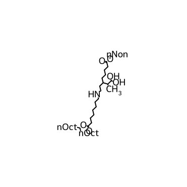 CCCCCCCCCOC(=O)CCCCC(CCNCCCCCCCC(=O)OC(CCCCCCCC)CCCCCCCC)C(C)C(O)O